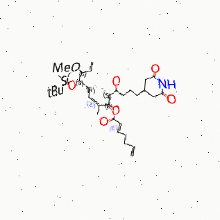 C=CCC/C=C/C(=O)O[C@@H](/C(C)=C\[C@@H](C)[C@H](O[Si](C)(C)C(C)(C)C)[C@H](C=C)OC)[C@H](C)C(=O)CCCC1CC(=O)NC(=O)C1